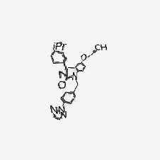 C#CCOc1ccc2c(c1)c(-c1ccc(C(C)C)cc1)nc(=O)n2Cc1ccc(-n2nccn2)cc1